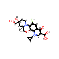 O=C(O)c1cn(C2CC2)c2c3c(c(F)cc2c1=O)N1CC[C@@](O)(CO)C[C@@H]1CO3